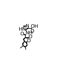 Cc1cc2cc(C(=O)Nc3[nH]cnc3C(=O)O)c(=O)oc2cc1C